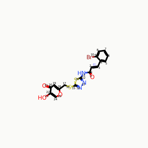 O=C(/C=C/c1ccccc1Br)Nc1nnc(SCc2cc(=O)c(O)co2)s1